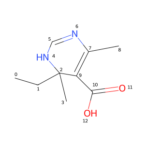 CCC1(C)NC=NC(C)=C1C(=O)O